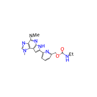 CCNC(=O)OCc1cccc(-c2cc3c(nc(NC)c4ncn(C)c43)[nH]2)n1